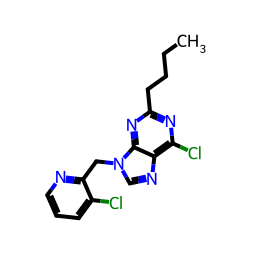 CCCCc1nc(Cl)c2ncn(Cc3ncccc3Cl)c2n1